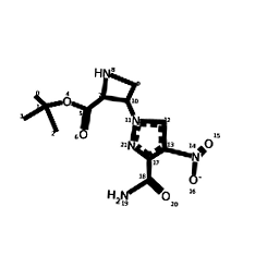 CC(C)(C)OC(=O)C1NCC1n1cc([N+](=O)[O-])c(C(N)=O)n1